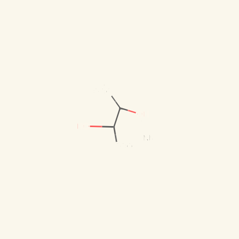 O=C([O-])C(O)C(O)C(=O)[O-].[Nb+2]